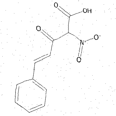 O=C(O)C(C(=O)C=Cc1ccccc1)[N+](=O)[O-]